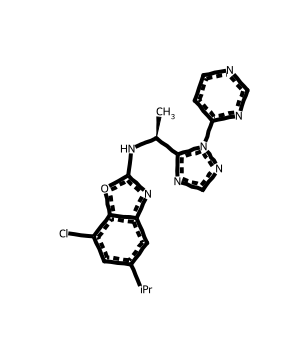 CC(C)c1cc(Cl)c2oc(N[C@@H](C)c3ncnn3-c3ccncn3)nc2c1